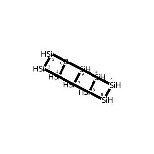 B12[SiH]3[SiH]4[SiH]1[SiH]1[SiH]5[SiH]2[SiH]3[SiH]5[SiH]41